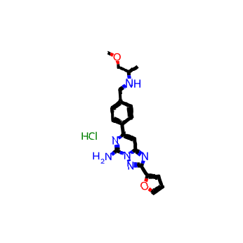 COCC(C)NCc1ccc(-c2cc3nc(-c4ccco4)nn3c(N)n2)cc1.Cl